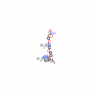 CC(C)c1cccc(C(C)C)c1NC(=O)Nc1cccc2ccc(Oc3ccc4nc(COc5ccc(CC6SC(=O)NC6=O)cc5)n(C)c4c3)cc12